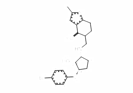 Cc1cc2c(s1)CCC(CN[C@@H]1CC[C@@H](Oc3ccc(Br)cc3)[C@@H]1O)C2=O